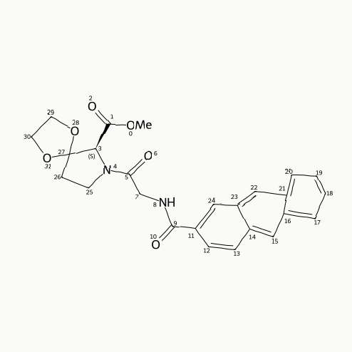 COC(=O)[C@H]1N(C(=O)CNC(=O)c2ccc3cc4ccccc4cc3c2)CCC12OCCO2